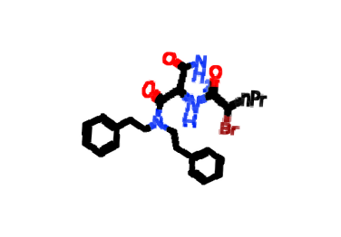 CCCC(Br)C(=O)NC(C(N)=O)C(=O)N(CCc1ccccc1)CCc1ccccc1